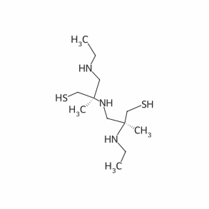 CCNC[C@](C)(CS)NC[C@@](C)(CS)NCC